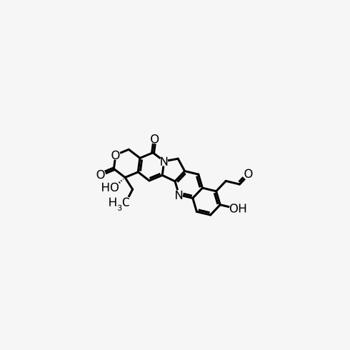 CC[C@@]1(O)C(=O)OCc2c1cc1n(c2=O)Cc2cc3c(CC=O)c(O)ccc3nc2-1